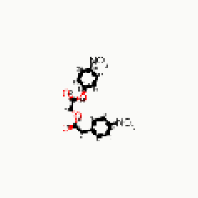 O=C(Cc1ccc([N+](=O)[O-])cc1)OCC(=O)Oc1ccc([N+](=O)[O-])cc1